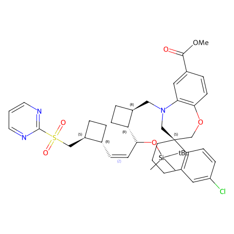 COC(=O)c1ccc2c(c1)N(C[C@@H]1CC[C@H]1C(/C=C\[C@H]1CC[C@@H]1CS(=O)(=O)c1ncccn1)O[Si](C)(C)C(C)(C)C)C[C@@]1(CCCc3cc(Cl)ccc31)CO2